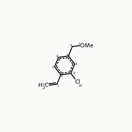 C=Cc1ccc(COC)cc1Cl